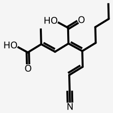 CCCCC(C=CC#N)=C(C=C(C)C(=O)O)C(=O)O